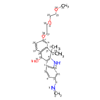 C=NCc1ccc2c3c([nH]c2c1)C(C)(C)c1cc(OCCOCCOC)ccc1C3O